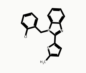 Cc1ccc(-c2nc3ccccc3n2Cc2ccccc2Cl)s1